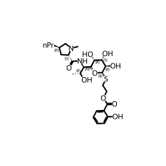 CCC[C@@H]1C[C@@H](C(=O)N[C@@H]([C@H]2O[C@H](SCCOC(=O)c3ccccc3O)[C@H](O)[C@@H](O)[C@H]2O)[C@@H](C)O)N(C)C1